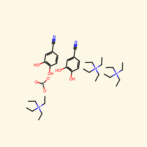 CC[N+](CC)(CC)CC.CC[N+](CC)(CC)CC.CC[N+](CC)(CC)CC.N#Cc1ccc(O)c(O)c1.N#Cc1ccc(O)c(O)c1.[O-]B([O-])[O-]